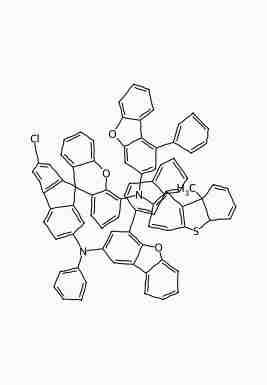 CC12C=CC=CC1Sc1ccc(N(c3cc(-c4ccccc4)c4c(c3)oc3ccccc34)c3cccc4c3Oc3ccccc3C43c4cc(Cl)ccc4-c4ccc(N(c5ccccc5)c5cc(-c6ccc7ccccc7c6)c6oc7ccccc7c6c5)cc43)cc12